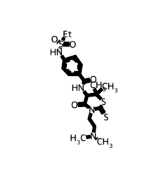 CCS(=O)(=O)Nc1ccc(C(=O)NC2C(=O)N(CCN(C)C)C(=S)SC2(C)C)cc1